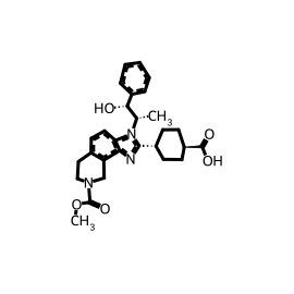 COC(=O)N1CCc2ccc3c(nc([C@H]4CC[C@H](C(=O)O)CC4)n3[C@@H](C)[C@H](O)c3ccccc3)c2C1